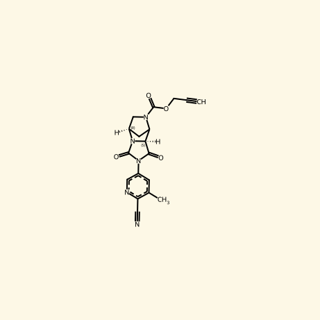 C#CCOC(=O)N1C[C@H]2CC1[C@H]1C(=O)N(c3cnc(C#N)c(C)c3)C(=O)N21